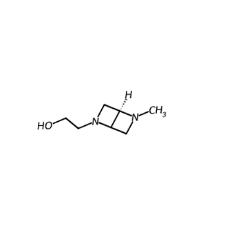 CN1CC2[C@H]1CN2CCO